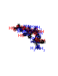 CC(C)C[C@H](NC(=O)CNC(=O)[C@H](Cc1ccccc1)NC(=O)[C@H](CO)NC(=O)[C@H](CC(N)=O)NC(=O)[C@H](Cc1c[nH]c2ccccc12)NC(=O)[C@H](CC(N)=O)NC(=O)[C@H](Cc1ccc(O)cc1)NC(=O)[C@H](CC(N)=O)NC(=O)[C@@H]1CCCN1C(=O)[C@H](CC(C)C)NC(=O)[C@@H](N)CC(=O)O)C(=O)N[C@@H](CCCN=C(N)N)C(=O)N[C@@H](Cc1ccccc1)C(=O)O